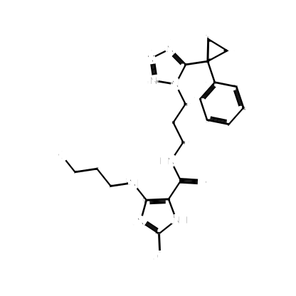 CCCCNc1nc(Cl)[nH]c1C(=O)NCCCn1nnnc1C1(c2ccccc2)CC1